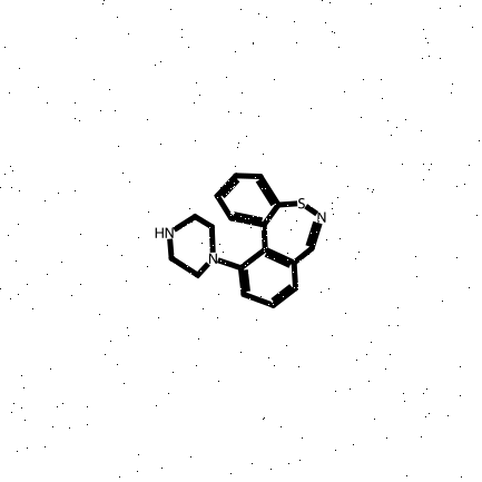 C1=NSc2ccccc2-c2c1cccc2N1CCNCC1